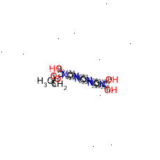 C=C(C)C(=O)OCCN(CCO)c1ccc(/N=N/c2ccc(/N=N/c3ccc(N(CCO)CCO)cc3)cc2)cc1